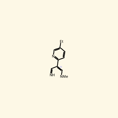 CCc1ccc(/C(C=N)=C/NC)nc1